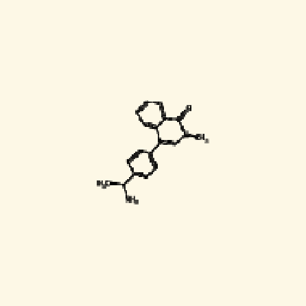 C[C@H](N)c1ccc(-c2cn(C)c(=O)c3ccccc23)cc1